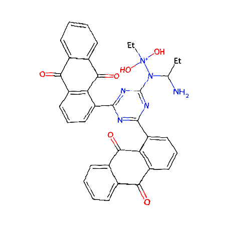 CCC(N)N(c1nc(-c2cccc3c2C(=O)c2ccccc2C3=O)nc(-c2cccc3c2C(=O)c2ccccc2C3=O)n1)[N+](O)(O)CC